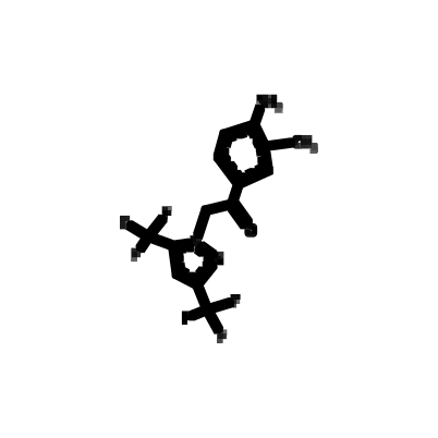 Cc1cc(C(=O)Cn2nc(C(F)(F)F)cc2C(F)(F)F)ccc1N